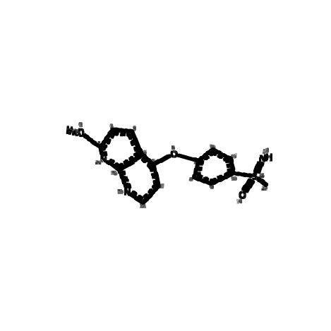 COc1ccc2c(Oc3ccc(S(C)(=N)=O)cc3)ccnc2n1